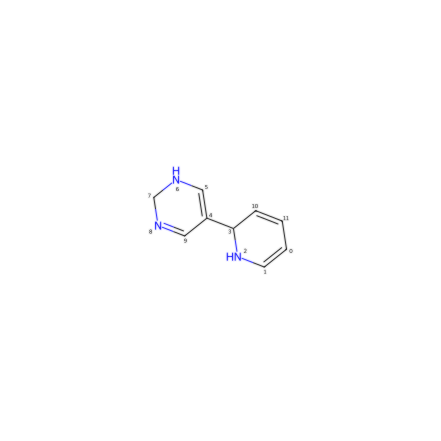 C1=CNC(C2=CNCN=C2)C=C1